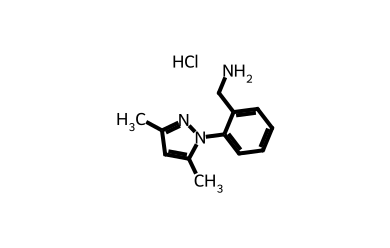 Cc1cc(C)n(-c2ccccc2CN)n1.Cl